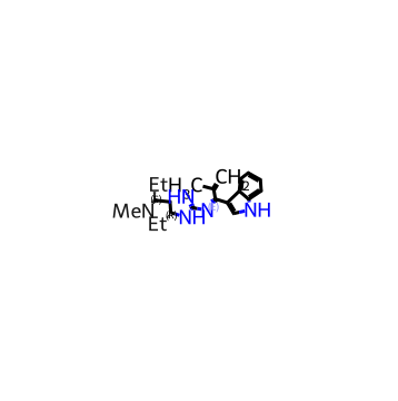 C=C(C)/C(=N\C(=N)N[C@H](CC)C[C@H](CC)NC)c1c[nH]c2ccccc12